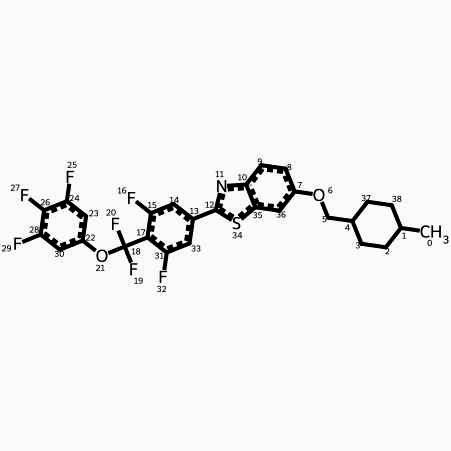 CC1CCC(COc2ccc3nc(-c4cc(F)c(C(F)(F)Oc5cc(F)c(F)c(F)c5)c(F)c4)sc3c2)CC1